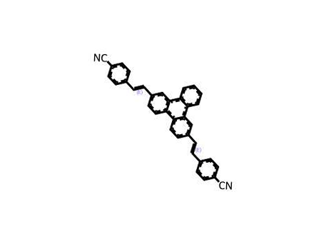 N#Cc1ccc(/C=C/c2ccc3c4ccc(/C=C/c5ccc(C#N)cc5)cc4c4ccccc4c3c2)cc1